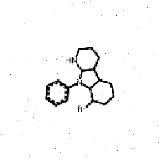 BrC1CCCC2C3CCCNC3N(c3ccccc3)C12